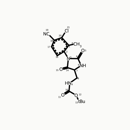 Cc1c(N2C(=O)NC(CNC(=O)OC(C)(C)C)C2=O)ccc(C#N)c1Cl